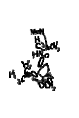 CNCCN(C)CC(C)NC(=O)OC1CC[C@]2(CO2)C([C@@]2(C)O[C@@H]2CC=C(C)C)C1OC